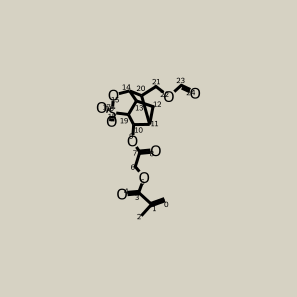 C=C(C)C(=O)OCC(=O)OC1C2CC3C(OS(=O)(=O)C31)C2COC=O